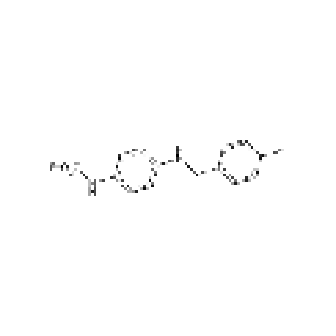 CCOC(=O)Nc1ccc(NCc2ccc(F)cc2)cc1